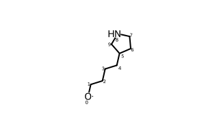 [O]CCCCC1CCNC1